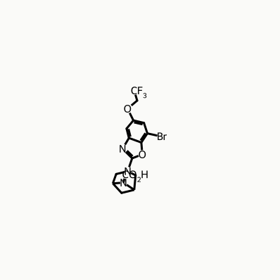 O=C(O)N1C2CC1CN(c1nc3cc(OCC(F)(F)F)cc(Br)c3o1)C2